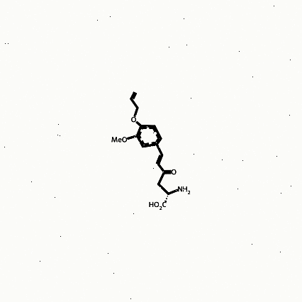 C=CCOc1ccc(C=CC(=O)C[C@H](N)C(=O)O)cc1OC